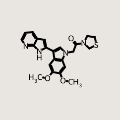 COc1cc2c(-c3cc4cccnc4[nH]3)cn(CC(=O)N3CCSC3)c2cc1OC